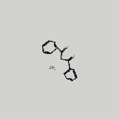 O=C(CC(=O)c1ccccc1)c1ccccc1.[AlH3]